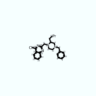 CC(C)CC1CN(Cc2ccccc2)CCN1Cc1nc(Cl)c2ccccc2n1